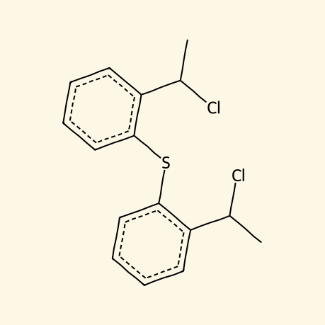 CC(Cl)c1ccccc1Sc1ccccc1C(C)Cl